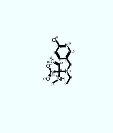 CCN(Cc1ccc(Cl)nc1)C(C=O)(NC)[N+](=O)[O-]